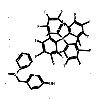 C[S+](Cc1ccc(O)cc1)c1ccccc1.Fc1c(F)c(F)c([B-](c2c(F)c(F)c(F)c(F)c2F)(c2c(F)c(F)c(F)c(F)c2F)c2c(F)c(F)c(F)c(F)c2F)c(F)c1F